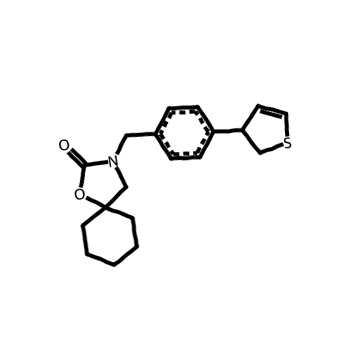 O=C1OC2(CCCCC2)CN1Cc1ccc(C2C=CSC2)cc1